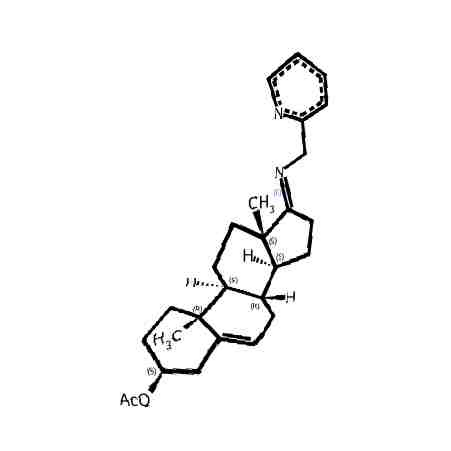 CC(=O)O[C@H]1CC[C@@]2(C)C(=CC[C@@H]3[C@@H]2CC[C@]2(C)/C(=N/Cc4ccccn4)CC[C@@H]32)C1